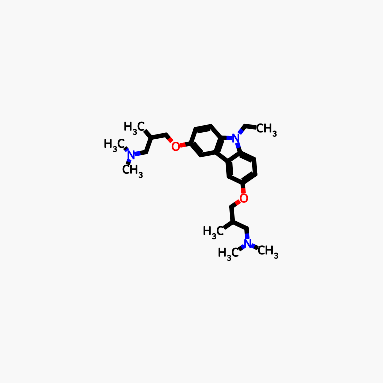 CCn1c2ccc(OCC(C)CN(C)C)cc2c2cc(OCC(C)CN(C)C)ccc21